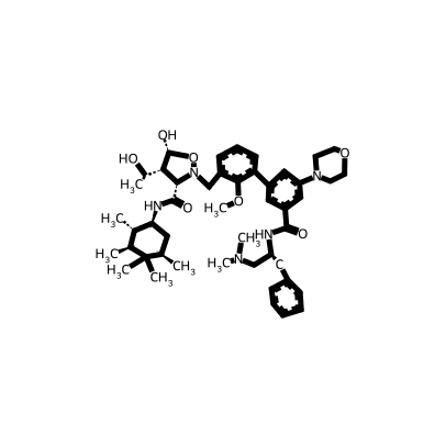 COc1c(CN2O[C@@H](O)[C@@H]([C@H](C)O)[C@H]2C(=O)N[C@H]2C[C@@H](C)C(C)(C)[C@@H](C)[C@@H]2C)cccc1-c1cc(C(=O)N[C@@H](Cc2ccccc2)CN(C)C)cc(N2CCOCC2)c1